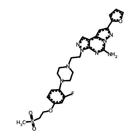 CS(=O)(=O)CCOc1ccc(N2CCN(CCn3ncc4c3nc(N)n3nc(-c5ccco5)cc43)CC2)c(F)c1